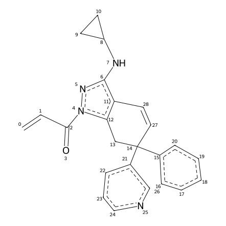 C=CC(=O)n1nc(NC2CC2)c2c1CC(c1ccccc1)(c1cccnc1)C=C2